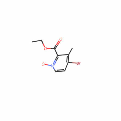 CCOC(=O)c1c(C)c(Br)cc[n+]1[O-]